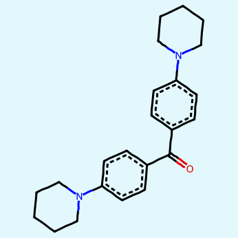 O=C(c1ccc(N2CCCCC2)cc1)c1ccc(N2CCCCC2)cc1